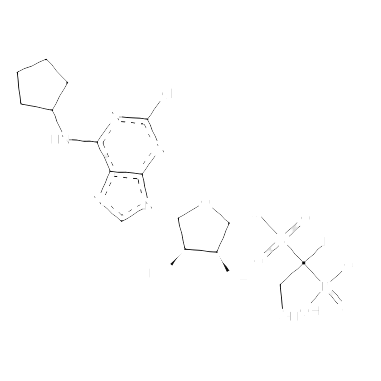 O=P(O)(O)C(F)(CO)S(=O)(=O)C[C@H]1O[C@@H](n2cnc3c(NC4CCCC4)nc(Cl)nc32)[C@H](O)[C@@H]1O